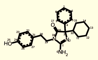 NC1=NC(c2ccccc2)(C2CCCCC2)C(=O)N1CCc1ccc(O)cc1